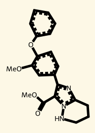 COC(=O)c1c(-c2ccc(Oc3ccccc3)c(OC)c2)nc2n1NCCC2